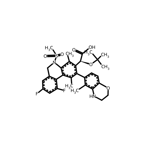 Cc1c(-c2c(C)c3c(c(C)c2[C@H](OC(C)(C)C)C(=O)O)N(S(C)(=O)=O)Cc2cc(F)cc(F)c2-3)ccc2c1NCCO2